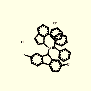 CCc1ccc2c(c1)[CH]([Zr+2](=[C](c1ccccc1)c1ccccc1)[CH]1C=Cc3cccc(-c4ccccc4)c31)c1cc(CC)ccc1-2.[Cl-].[Cl-]